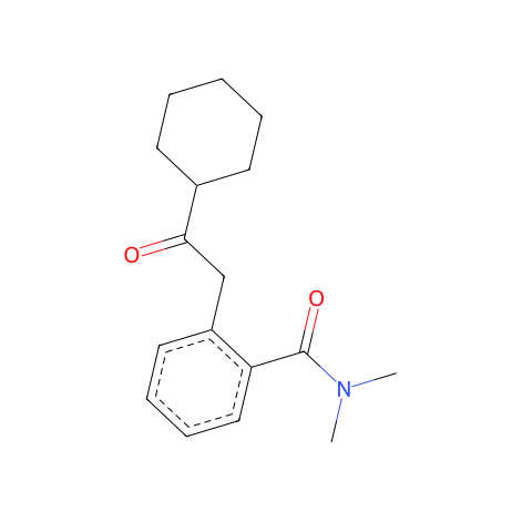 CN(C)C(=O)c1ccccc1CC(=O)C1CCCCC1